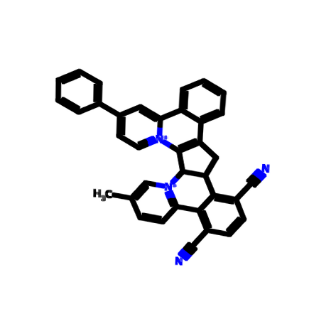 Cc1ccc2[n+](c1)C1c3c(c4ccccc4c4cc(-c5ccccc5)cc[n+]34)CC1c1c(C#N)ccc(C#N)c1-2